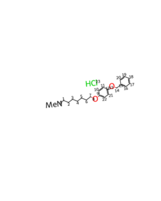 CNCCCCCCCOc1ccc(OCc2ccccc2)cc1.Cl